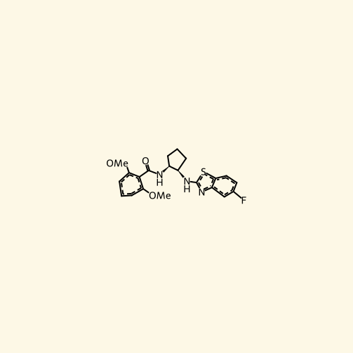 COc1cccc(OC)c1C(=O)N[C@H]1CCC[C@H]1Nc1nc2cc(F)ccc2s1